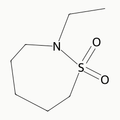 CCN1CCCCCS1(=O)=O